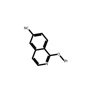 CC(C)Oc1nccc2cc(C#N)ccc12